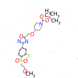 COCCS(=O)(=O)c1ccc(-c2noc(COC3CCN(C(=O)OC(C)(C)C)CC3)n2)cc1F